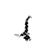 CCc1ccc(C(=O)N[C@@H](Cc2ccc(-c3ncc(-c4ccc(OCCCC(C)C)cc4)cn3)cc2)C(=O)N2CC(C(=O)O)C2)cc1